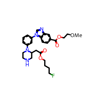 COCCOC(=O)c1ccc2c(c1)ncn2-c1cccc(N2CCNCC2CC(=O)OCCCCF)c1